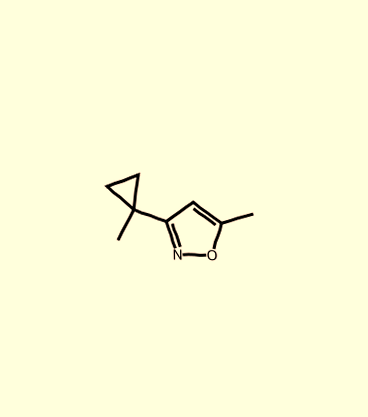 Cc1cc(C2(C)CC2)no1